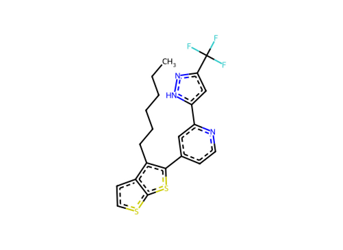 CCCCCCc1c(-c2ccnc(-c3cc(C(F)(F)F)n[nH]3)c2)sc2sccc12